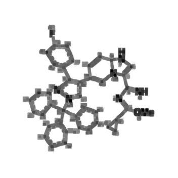 CO/C(=N\C(=N)C1=CNC2C=CC(c3cn(C(c4ccccc4)(c4ccccc4)c4ccccc4)nc3-c3ccc(F)cc3)=CN12)C1CC1